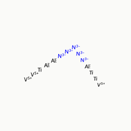 [Al].[Al].[Al].[N-3].[N-3].[N-3].[N-3].[N-3].[Ti].[Ti].[Ti].[V+5].[V+5].[V+5]